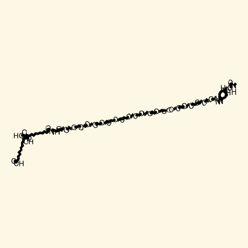 CNC(=O)OC[C@@H]1[C@@H]2CCc3nnn(CCOCCOCCOCCOCCOCCOCCOCCOCCOCCOCCOCCOCCOCCOCCOCCOCCOCCOCCOCCOCCOCCOCCOCCNC(=O)CCCCCCCCCCC(CCCCCCCCCCC(=O)O)(C(=O)O)C(=O)O)c3CC[C@@H]21